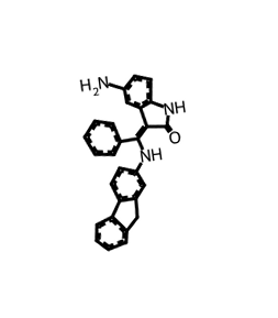 Nc1ccc2c(c1)C(=C(Nc1ccc3c(c1)Cc1ccccc1-3)c1ccccc1)C(=O)N2